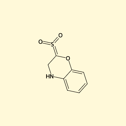 O=S(=O)=C1CNc2ccccc2O1